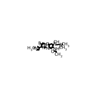 C=CC(=O)Nc1cc(Nc2ncc(F)c(-c3ccn(C)c3)n2)c(OC)cc1N(C)CCN(C)C